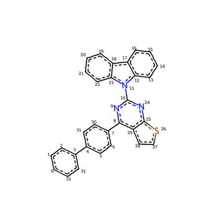 c1ccc(-c2ccc(-c3nc(-n4c5ccccc5c5ccccc54)nc4sccc34)cc2)cc1